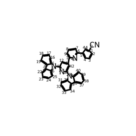 N#Cc1cccc(-c2cccc(-c3cc(-n4c5ccccc5c5ccccc54)nc(-n4c5ccccc5c5ccccc54)c3)n2)c1